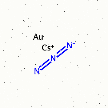 [Au].[Cs+].[N-]=[N+]=[N-]